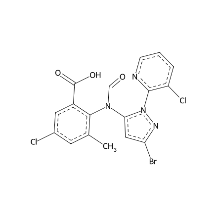 Cc1cc(Cl)cc(C(=O)O)c1N(C=O)c1cc(Br)nn1-c1ncccc1Cl